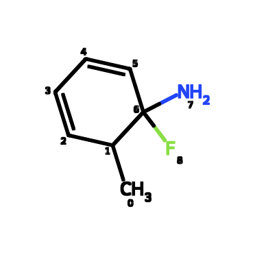 CC1C=CC=CC1(N)F